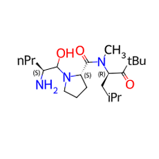 CCC[C@H](N)C(O)N1CCC[C@H]1C(=O)N(C)[C@H](CC(C)C)C(=O)C(C)(C)C